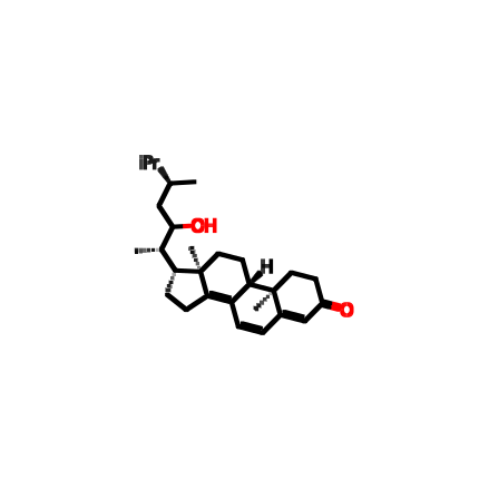 CC(C)[C@@H](C)CC(O)[C@@H](C)[C@H]1CCC2=C3C=CC4=CC(=O)CC[C@]4(C)[C@H]3CC[C@@]21C